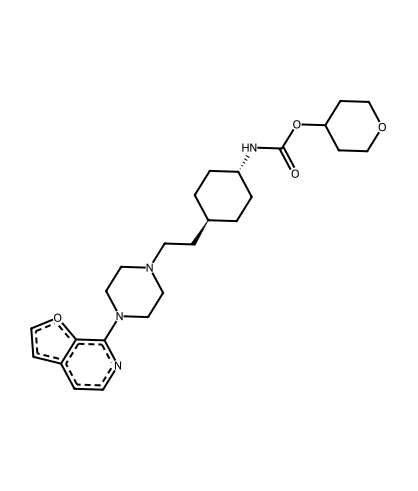 O=C(N[C@H]1CC[C@H](CCN2CCN(c3nccc4ccoc34)CC2)CC1)OC1CCOCC1